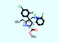 CC(C)(C)C[C@@H]1N[C@@H](C(=O)OC(C)(C)C)[C@@H](c2cccc(F)c2F)[C@@]1(CN)c1ccc(Cl)cc1F